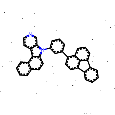 c1cc(-c2ccc3c4c(cccc24)-c2ccccc2-3)cc(-n2c3cnccc3c3c4ccccc4ccc32)c1